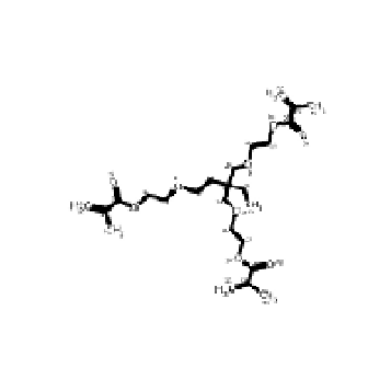 C=C(C)C(=O)OCCOCCC(CC)(COCCOC(=O)C(=C)C)COCCOC(=O)C(=C)C